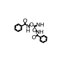 N=C(ONC(=O)c1ccccc1)ONC(=O)c1ccccc1